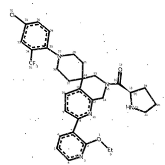 CCOc1ncccc1-c1ccc2c(n1)CN(C(=O)[C@H]1CCCN1)CC21CCN(c2ccc(Cl)cc2C(F)(F)F)CC1